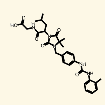 Cc1ccccc1NC(=O)Nc1ccc(CN2C(=O)N(C(CC(C)C)C(=O)NCC(=O)O)C(=O)C2(C)C)cc1